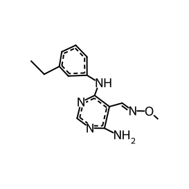 CCc1cccc(Nc2ncnc(N)c2C=NOC)c1